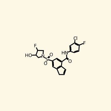 O=C(Nc1ccc(F)c(Cl)c1)c1cc(S(=O)(=O)N2CC(O)C(F)C2)cc2c1C=CC2